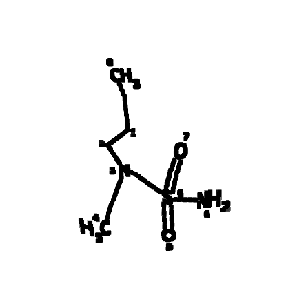 CCCN(C)S(N)(=O)=O